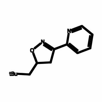 CC(C)(C)CC1CC(c2ccccn2)=NO1